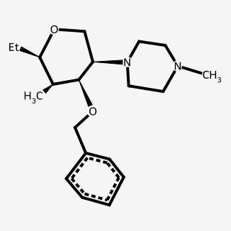 CC[C@H]1OC[C@@H](N2CCN(C)CC2)[C@@H](OCc2ccccc2)[C@H]1C